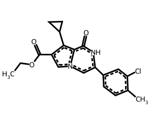 CCOC(=O)c1cn2cc(-c3ccc(C)c(Cl)c3)[nH]c(=O)c2c1C1CC1